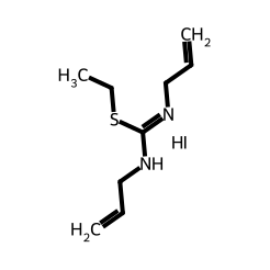 C=CC/N=C(/NCC=C)SCC.I